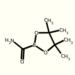 CC1(C)OB(C(N)=O)OC1(C)C